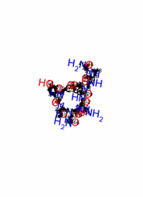 CC[C@H](C)[C@@H]1NC(=O)[C@H](Cc2ccc(O)cc2)NC(=O)CCS(=O)(=O)CC[C@@H](C(=O)N(CC(=O)N[C@@H](CC(C)C)C(=O)NCC(N)=O)C2CC2)NC(=O)[C@H](CC(N)=O)NC(=O)[C@H](CCC(N)=O)NC1=O